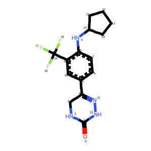 O=C1NCC(c2ccc(NC3CCCC3)c(C(F)(F)F)c2)=NN1